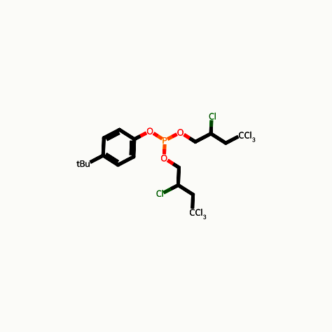 CC(C)(C)c1ccc(OP(OCC(Cl)CC(Cl)(Cl)Cl)OCC(Cl)CC(Cl)(Cl)Cl)cc1